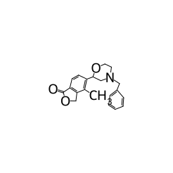 Cc1c(C2CN(Cc3ccccc3)CCO2)ccc2c1COC2=O